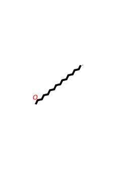 [CH2]CCCCCCCCCCCCCC(C)=O